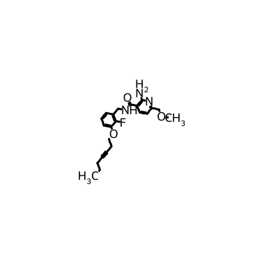 CCCC#CCCOc1cccc(CNC(=O)c2ccc(COC)nc2N)c1F